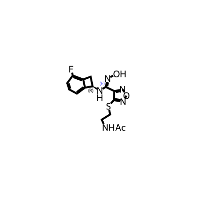 CC(=O)NCCSc1nonc1/C(=N\O)N[C@@H]1Cc2c(F)cccc21